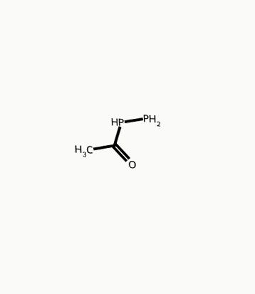 CC(=O)PP